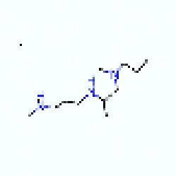 CCCN(C)CC(C)NCCCNC